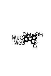 COc1cc(-c2cc(=O)oc3cc(O)cc(O)c23)cc(OC)c1OC